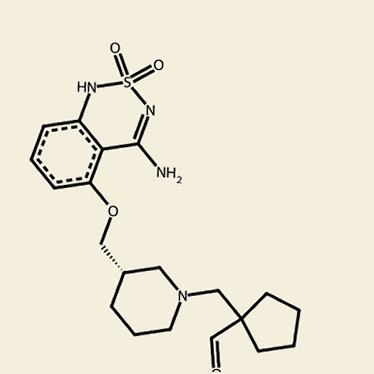 NC1=NS(=O)(=O)Nc2cccc(OC[C@H]3CCCN(CC4(C=O)CCCC4)C3)c21